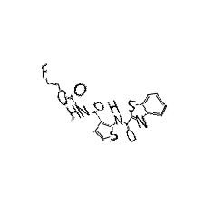 O=C(NC(=O)c1ccsc1NC(=O)c1nc2ccccc2s1)OCCF